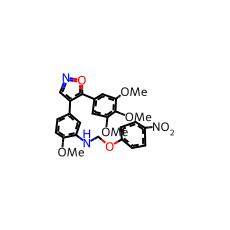 COc1ccc(-c2cnoc2-c2cc(OC)c(OC)c(OC)c2)cc1NCOc1ccc([N+](=O)[O-])cc1